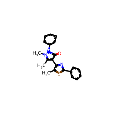 Cc1sc(-c2ccccc2)nc1-c1c(C)n(C)n(-c2ccccc2)c1=O